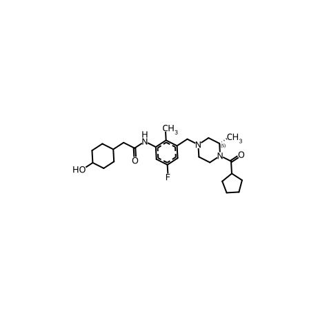 Cc1c(CN2CCN(C(=O)C3CCCC3)[C@@H](C)C2)cc(F)cc1NC(=O)CC1CCC(O)CC1